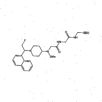 C#CCNC(=O)CNC(=O)CN(SC)C1CCN(C(CF)c2cccc3ccccc23)CC1